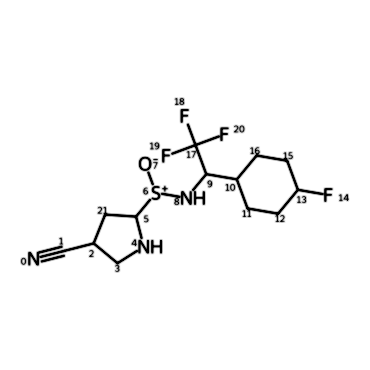 N#CC1CNC([S+]([O-])NC(C2CCC(F)CC2)C(F)(F)F)C1